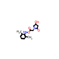 Cc1cccc(C)c1NOC(=O)CN1CC(O)CC1=O